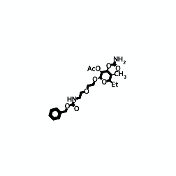 CC[C@H]1O[C@H](OCCOCCNC(=O)OCc2ccccc2)[C@@H](OC(C)=O)[C@@H](OC(N)=O)[C@@H]1C